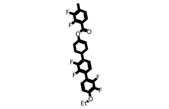 CCOc1ccc(-c2ccc(C3CC=C(OC(=O)c4ccc(C)c(F)c4F)CC3)c(F)c2F)c(F)c1F